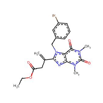 C=C(CC(=O)OCC)c1nc2c(c(=O)n(C)c(=O)n2C)n1Cc1cccc(Br)c1